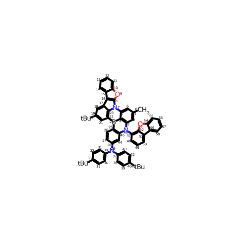 Cc1cc2c3c(c1)-n1c4oc5ccccc5c4c4cc(C(C)(C)C)cc(c41)B3c1ccc(N(c3ccc(C(C)(C)C)cc3)c3ccc(C(C)(C)C)cc3)cc1N2c1cccc2c1oc1ccccc12